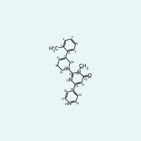 Cc1ccccc1C1=CCCN(c2nc(-c3ccncc3)cc(=O)n2C)C1